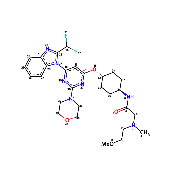 COCCN(C)CC(=O)N[C@H]1CC[C@H](Oc2cc(-n3c(C(F)F)nc4ccccc43)nc(N3CCOCC3)n2)CC1